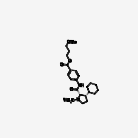 COCCCOC(=O)c1ccc(NC(=O)[C@@H]2[C@H](C3CCCCC3)CCN2C(=O)O)cc1